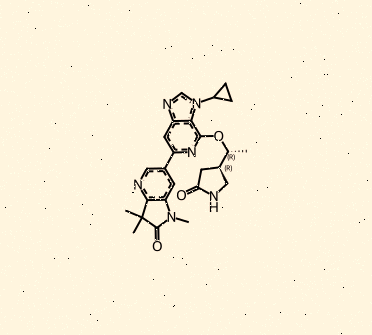 C[C@@H](Oc1nc(-c2cnc3c(c2)N(C)C(=O)C3(C)C)cc2ncn(C3CC3)c12)[C@H]1CNC(=O)C1